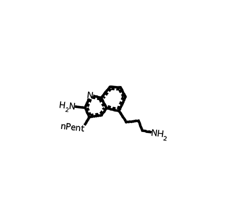 CCCCCc1cc2c(CCCN)cccc2nc1N